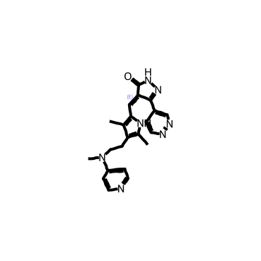 Cc1[nH]c(/C=C2/C(=O)NN=C2c2ccnnc2)c(C)c1CCN(C)c1ccncc1